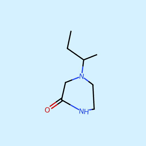 CCC(C)N1CCNC(=O)C1